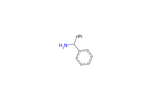 CCCC(N)c1[c]cccc1